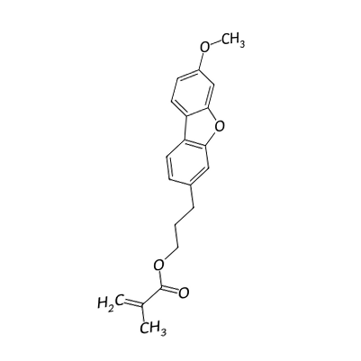 C=C(C)C(=O)OCCCc1ccc2c(c1)oc1cc(OC)ccc12